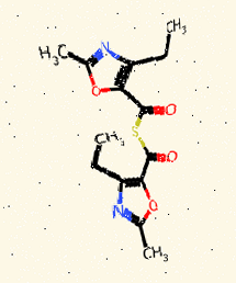 CCc1nc(C)oc1C(=O)SC(=O)c1oc(C)nc1CC